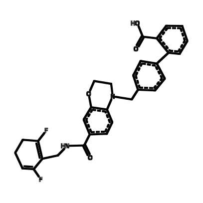 O=C(NCC1=C(F)CCC=C1F)c1ccc2c(c1)OCCN2Cc1ccc(-c2ccccc2C(=O)O)cc1